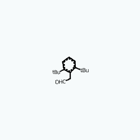 CC(C)(C)c1cccc(C(C)(C)C)c1CC=O